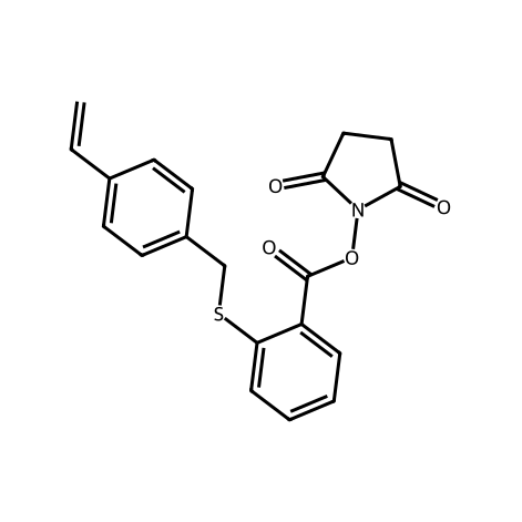 C=Cc1ccc(CSc2ccccc2C(=O)ON2C(=O)CCC2=O)cc1